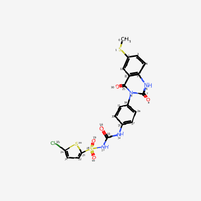 CSc1ccc2[nH]c(=O)n(-c3ccc(NC(=O)NS(=O)(=O)c4ccc(Cl)s4)cc3)c(=O)c2c1